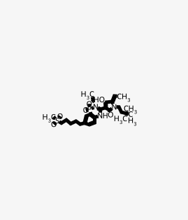 CC=C1C(O)=C(C2=NP(=O)(OCC)c3cc(CCCCCS(C)(=O)=O)ccc3N2)C(=O)N1CCC(C)(C)C